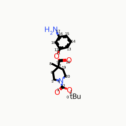 CC(C)(C)OC(=O)N1CCC(C)(C(=O)Oc2cccc(N)c2)CC1